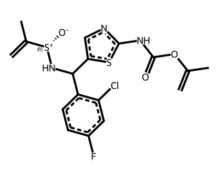 C=C(C)OC(=O)Nc1ncc(C(N[S@@+]([O-])C(=C)C)c2ccc(F)cc2Cl)s1